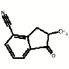 CC1Cc2c(C#N)cccc2C1=O